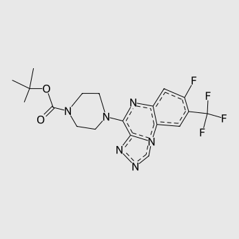 CC(C)(C)OC(=O)N1CCN(c2nc3cc(F)c(C(F)(F)F)cc3n3cnnc23)CC1